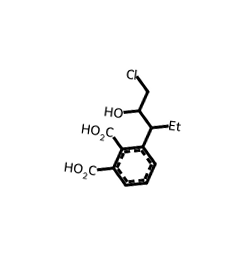 CCC(c1cccc(C(=O)O)c1C(=O)O)C(O)CCl